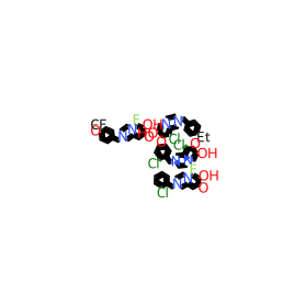 CCc1ccc(CN2CCn3cc(O)c(=O)c(Cl)c3C2)cc1.O=c1c(O)cn2c(c1Cl)CN(Cc1ccccc1Cl)CC2.O=c1cc2n(c(F)c1O)CCN(Cc1ccc(OC(F)(F)F)cc1)C2.O=c1cc2n(c(F)c1O)CCN(Cc1ccccc1Cl)C2